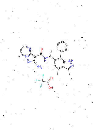 Cc1cc(C(C)NC(=O)c2c(N)nn3cccnc23)c(-c2ccccc2)c2[nH]nc(C)c12.O=C(O)C(F)(F)F